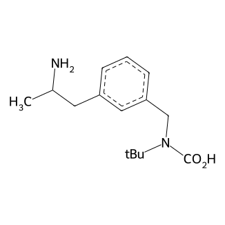 CC(N)Cc1cccc(CN(C(=O)O)C(C)(C)C)c1